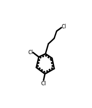 ClCCCc1ccc(Cl)cc1Cl